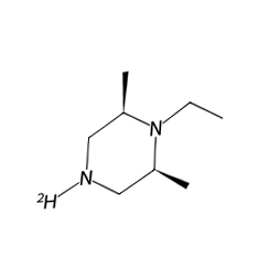 [2H]N1C[C@@H](C)N(CC)[C@@H](C)C1